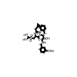 CCCC(CCC)S(=O)(=O)CC(NC(=O)CC1CC1)C(=O)N[C@@H](Cc1ccccc1)[C@H](O)CNCc1cccc(OC)c1